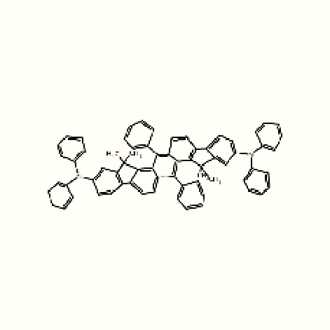 CC1(C)c2cc(N(C3=CCCC=C3)c3ccccc3)ccc2-c2ccc3c(-c4ccccc4)c4c5c(ccc4c(-c4ccccc4)c3c21)-c1ccc(N(c2ccccc2)c2ccccc2)cc1C5(C)C